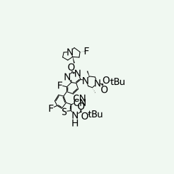 C[C@@H]1CN(c2nc(OC[C@@]34CCCN3C[C@H](F)C4)nc3c(F)c(-c4ccc(F)c5sc(NC(=O)OC(C)(C)C)c(C#N)c45)c(C#N)cc23)[C@@H](C)CN1C(=O)OC(C)(C)C